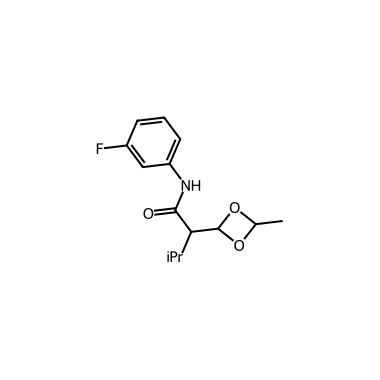 CC1OC(C(C(=O)Nc2cccc(F)c2)C(C)C)O1